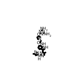 Cc1cnc(Nc2cc(C)n(C)n2)nc1-c1c[nH]c2c(NC(=O)CN3CCC(Oc4nc(N)nc(N)n4)C3)cccc12